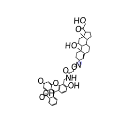 CC12CC/C(=N\OCC(=O)NCc3c(O)ccc4c(-c5ccccc5C(=O)O)c5ccc(=O)cc-5oc34)C=C1CCC1C2C(O)CC2(C)C(C(=O)CO)CCC12